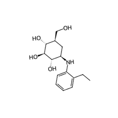 CCc1ccccc1N[C@@H]1C[C@H](CO)[C@@H](O)[C@H](O)[C@H]1O